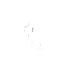 CN1CCN(CC2C=CC(C(F)(F)F)=CC2)CC1